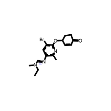 CCN(C)/C=N/c1cc(Br)c(OC2C=CC(=O)CC2)nc1C